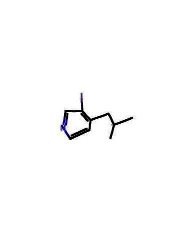 C[C](C)Cc1ccncc1I